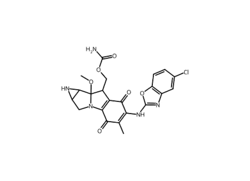 COC12C(COC(N)=O)C3=C(C(=O)C(C)=C(Nc4nc5cc(Cl)ccc5o4)C3=O)N1CC1NC12